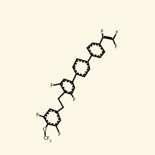 FC(F)=C(F)c1ccc(-c2ccc(-c3cc(F)c(CCc4cc(F)c(OC(F)(F)F)c(F)c4)c(F)c3)cc2)cc1